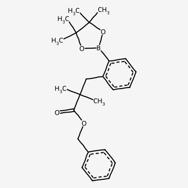 CC(C)(Cc1ccccc1B1OC(C)(C)C(C)(C)O1)C(=O)OCc1ccccc1